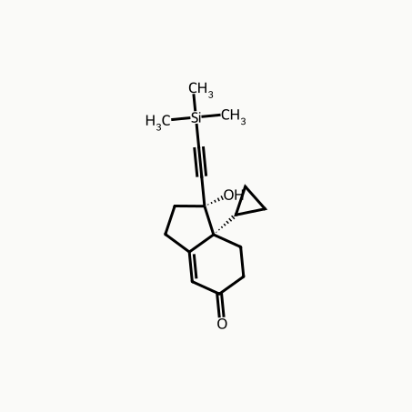 C[Si](C)(C)C#C[C@]1(O)CCC2=CC(=O)CC[C@@]21C1CC1